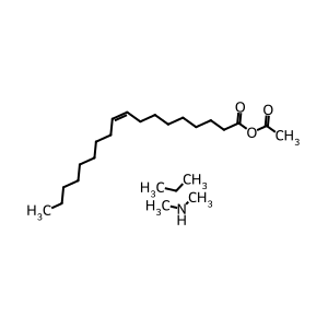 CCC.CCCCCCCC/C=C\CCCCCCCC(=O)OC(C)=O.CNC